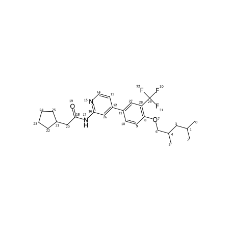 CC(C)CC(C)COc1ccc(-c2ccnc(NC(=O)CC3CCCC3)c2)cc1C(F)(F)F